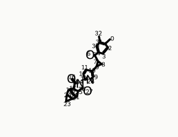 Cc1ccc(C(=O)C2CC2c2ccc(N3C(=O)C4C5C=CC(C6CC56)C4C3=O)nc2)cc1C